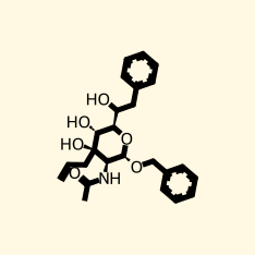 C=CC[C@]1(O)[C@H](O)[C@@H](C(O)Cc2ccccc2)O[C@H](OCc2ccccc2)[C@H]1NC(C)=O